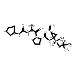 C=C[C@@H]1C[C@]1(NC(=O)[C@@H]1CCCN1C(=O)[C@@H](NC(=O)OC1CCCC1)C(C)(C)C)P(=O)(O)CC(C)(C)O